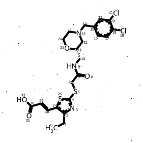 CCc1nc(SCC(=O)NC[C@H]2CN(Cc3ccc(Cl)c(Cl)c3)CCO2)sc1C=CC(=O)O